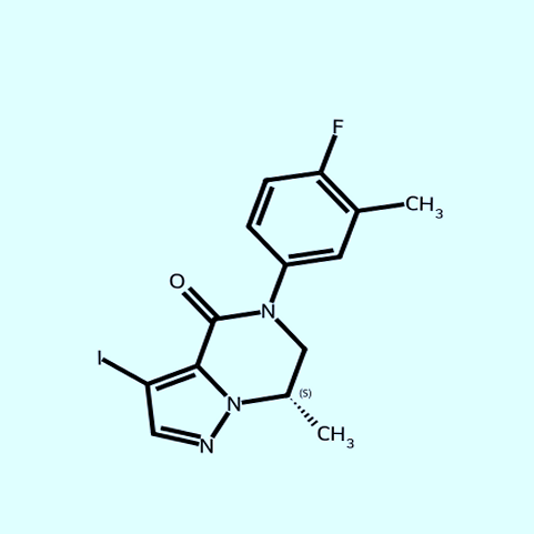 Cc1cc(N2C[C@H](C)n3ncc(I)c3C2=O)ccc1F